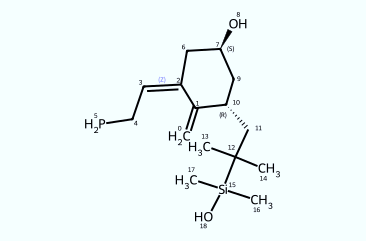 C=C1/C(=C\CP)C[C@@H](O)C[C@@H]1CC(C)(C)[Si](C)(C)O